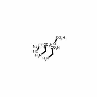 NCC(=O)O.NCC(=O)O.O=C(O)O.O=C([O-])O.[Na+]